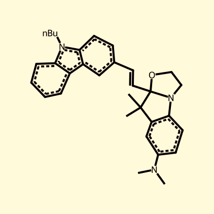 CCCCn1c2ccccc2c2cc(C=CC34OCCN3c3ccc(N(C)C)cc3C4(C)C)ccc21